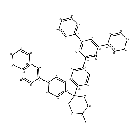 CC1CCC(c2ccc(-c3ccc4c(c3)C=CCC4)cc2)(c2ccc(-c3nc(C4=CCCC=C4)cc(-c4ccccc4)n3)cc2)CC1